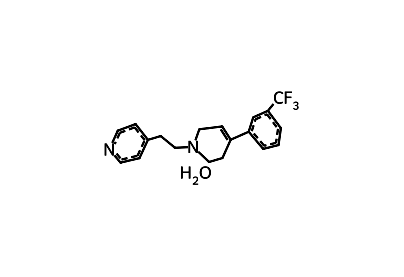 FC(F)(F)c1cccc(C2=CCN(CCc3ccncc3)CC2)c1.O